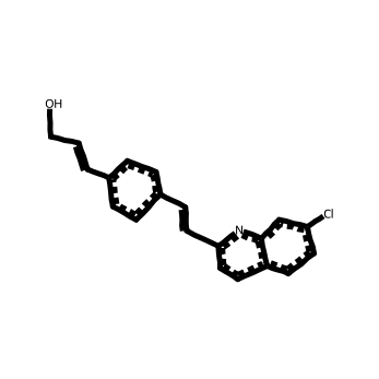 OCC=Cc1ccc(C=Cc2ccc3ccc(Cl)cc3n2)cc1